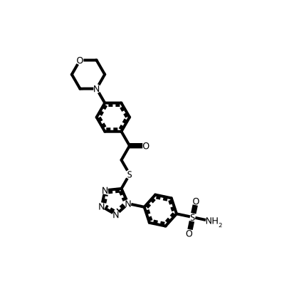 NS(=O)(=O)c1ccc(-n2nnnc2SCC(=O)c2ccc(N3CCOCC3)cc2)cc1